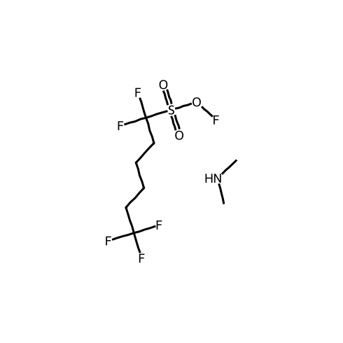 CNC.O=S(=O)(OF)C(F)(F)CCCCC(F)(F)F